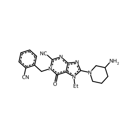 CCn1c(N2CCCC(N)C2)nc2nc(C#N)n(Cc3ccccc3C#N)c(=O)c21